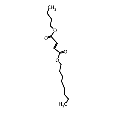 CCCCCCCCOC(=O)/C=C/C(=O)OCCCC